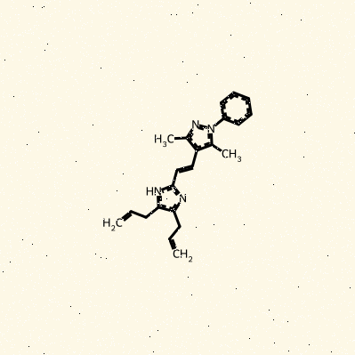 C=CCc1nc(C=Cc2c(C)nn(-c3ccccc3)c2C)[nH]c1CC=C